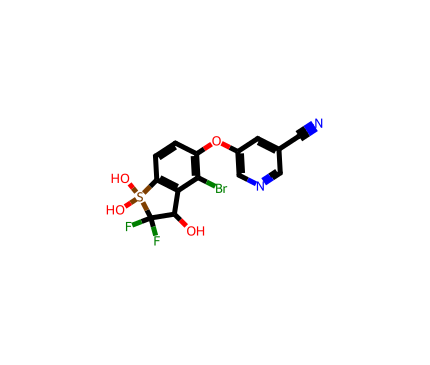 N#Cc1cncc(Oc2ccc3c(c2Br)C(O)C(F)(F)S3(O)O)c1